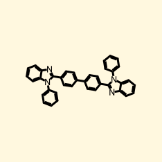 c1ccc(-n2c(-c3ccc(-c4ccc(-c5nc6ccccc6n5-c5ccccc5)cc4)cc3)nc3ccccc32)cc1